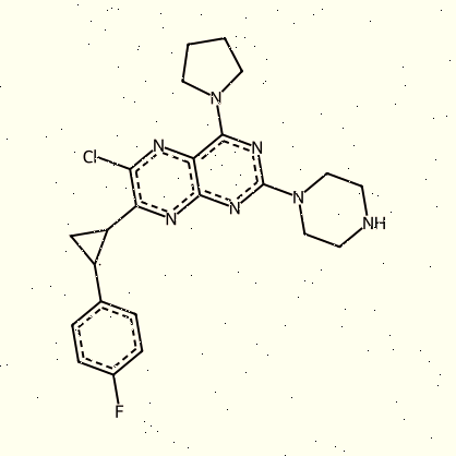 Fc1ccc([C]2CC2c2nc3nc(N4CCNCC4)nc(N4CCCC4)c3nc2Cl)cc1